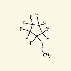 [CH2]CCC1(F)C(F)(F)C(F)(F)C(F)(F)C1(F)F